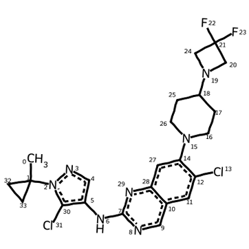 CC1(n2ncc(Nc3ncc4cc(Cl)c(N5CCC(N6CC(F)(F)C6)CC5)cc4n3)c2Cl)CC1